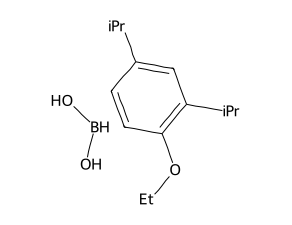 CCOc1ccc(C(C)C)cc1C(C)C.OBO